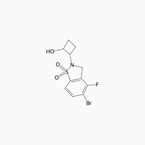 O=S1(=O)c2ccc(Br)c(F)c2CN1C1CCC1O